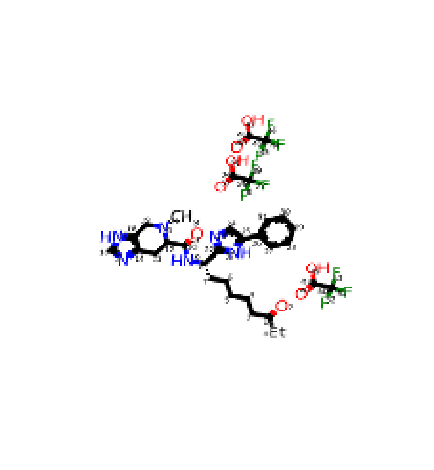 CCC(=O)CCCCC[C@H](NC(=O)C1Cc2nc[nH]c2CN1C)c1ncc(-c2ccccc2)[nH]1.O=C(O)C(F)(F)F.O=C(O)C(F)(F)F.O=C(O)C(F)(F)F